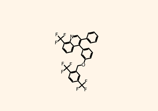 FC(F)(F)c1ccc(C(F)(F)F)c(COc2cccc(-c3c(-c4ccccc4)cnc4c(C(F)(F)F)cccc34)c2)c1